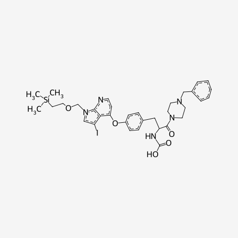 C[Si](C)(C)CCOCn1cc(I)c2c(Oc3ccc(CC(NC(=O)O)C(=O)N4CCN(Cc5ccccc5)CC4)cc3)ccnc21